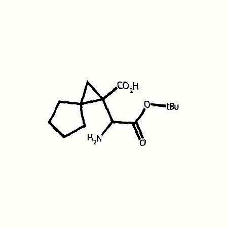 CC(C)(C)OC(=O)C(N)C1(C(=O)O)CC12CCCC2